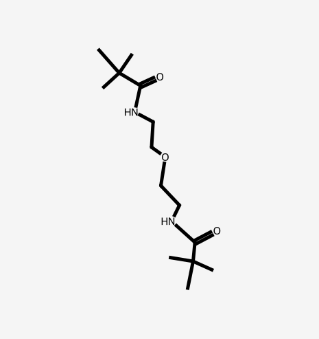 CC(C)(C)C(=O)NCCOCCNC(=O)C(C)(C)C